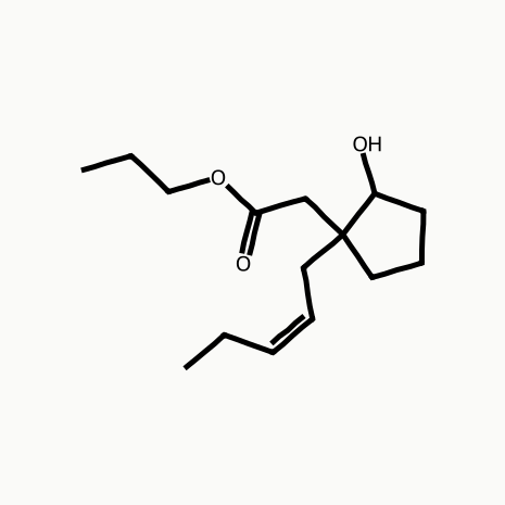 CC/C=C\CC1(CC(=O)OCCC)CCCC1O